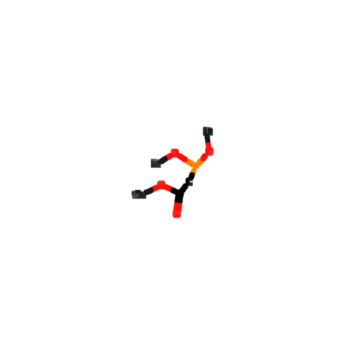 CCOP(CC(=O)OC(C)(C)C)OCC